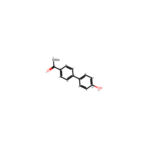 CNC(=O)c1ccc(-c2ccc(O)cc2)cc1